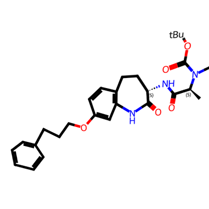 C[C@@H](C(=O)N[C@H]1CCc2ccc(OCCCc3ccccc3)cc2NC1=O)N(C)C(=O)OC(C)(C)C